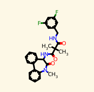 CN1C(=O)C(NC(=O)C(C)(C)C(=O)NCc2cc(F)cc(F)c2)c2ccccc2-c2ccccc21